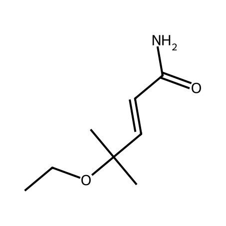 CCOC(C)(C)C=CC(N)=O